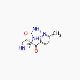 Cc1ccc(C(=O)[C@@]2(NC(N)=O)CCNC2)cn1